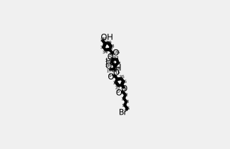 O=C(CCCCCBr)Oc1ccc(C(=O)O[C@@H]2CO[C@H]3[C@@H]2CC[C@H]3OC(=O)c2ccc(CO)cc2)cc1